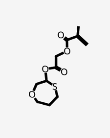 C=C(C)C(=O)OCC(=O)OC1COCCCS1